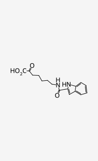 O=C(O)C(=O)CCCCCNC(=O)c1cc2ccccc2[nH]1